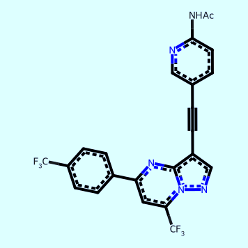 CC(=O)Nc1ccc(C#Cc2cnn3c(C(F)(F)F)cc(-c4ccc(C(F)(F)F)cc4)nc23)cn1